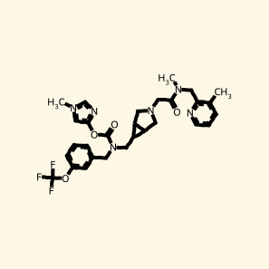 Cc1cccnc1CN(C)C(=O)CN1CC2C(C1)C2CN(Cc1cccc(OC(F)(F)F)c1)C(=O)Oc1cn(C)cn1